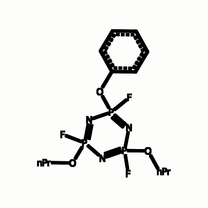 CCCOP1(F)=NP(F)(OCCC)=NP(F)(Oc2ccccc2)=N1